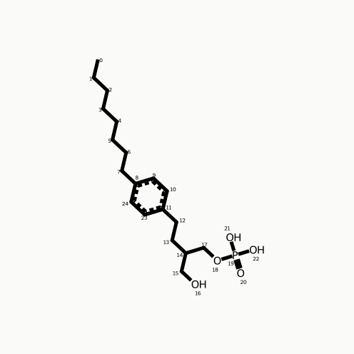 CCCCCCCCc1ccc(CCC(CO)COP(=O)(O)O)cc1